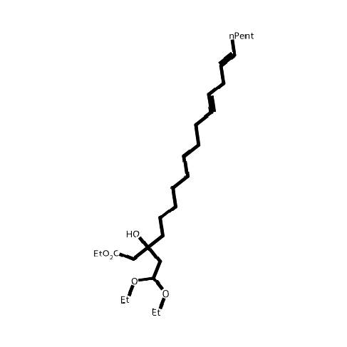 CCCCC/C=C/C/C=C/CCCCCCCCC(O)(CC(=O)OCC)CC(OCC)OCC